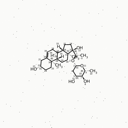 C[C@H](O[C@H]1C[C@@H](O)[C@H](O)[C@@H](C)O1)[C@@]1(O)CC[C@H]2[C@@H]3CC=C4C[C@@H](O)CC[C@]4(C)[C@H]3CC[C@@]21C